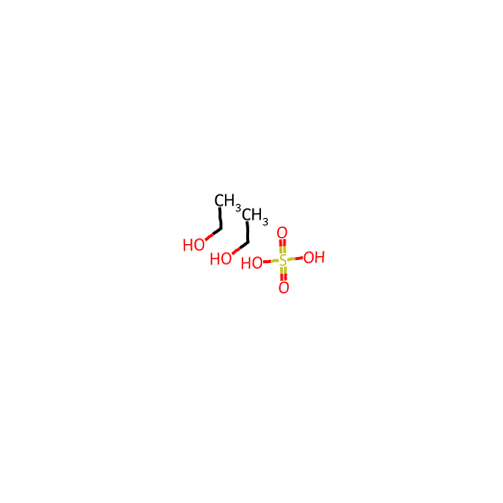 CCO.CCO.O=S(=O)(O)O